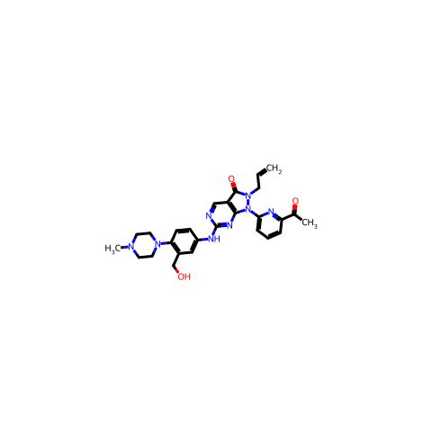 C=CCn1c(=O)c2cnc(Nc3ccc(N4CCN(C)CC4)c(CO)c3)nc2n1-c1cccc(C(C)=O)n1